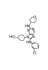 OCC1CCC(n2c(Nc3cccc(Cl)c3)nc3cnc(NC4CCOCC4)nc32)CC1